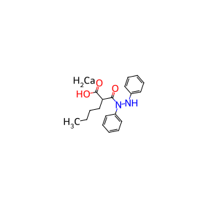 CCCCC(C(=O)O)C(=O)N(Nc1ccccc1)c1ccccc1.[CaH2]